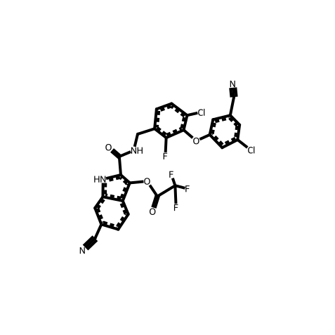 N#Cc1cc(Cl)cc(Oc2c(Cl)ccc(CNC(=O)c3[nH]c4cc(C#N)ccc4c3OC(=O)C(F)(F)F)c2F)c1